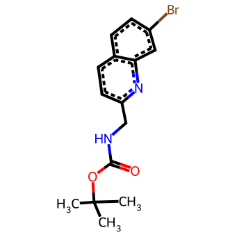 CC(C)(C)OC(=O)NCc1ccc2ccc(Br)cc2n1